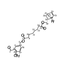 O=Cc1cc(COC(=O)CCCCCCC(=O)OC[C@@H]2CC3C=C[C@@H]2C3)ccc1O